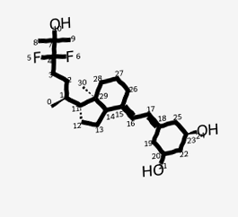 C[C@@H](CCC(F)(F)C(C)(C)O)[C@H]1CCC2/C(=C/C=C3\CC(O)C[C@H](O)C3)CCC[C@@]21C